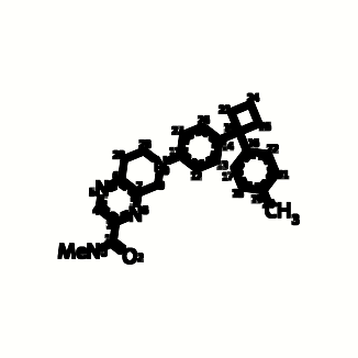 CNC(=O)c1cnc2c(n1)CN(c1ccc(C3(c4ccc(C)cc4)CCC3)cc1)CC2